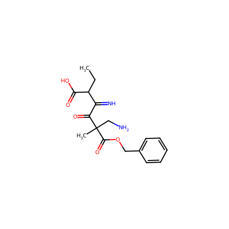 CCC(C(=N)C(=O)C(C)(CN)C(=O)OCc1ccccc1)C(=O)O